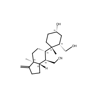 C=C1CC[C@H]2[C@H](CC#N)[C@@H]([C@]3(C)CC[C@H](O)C[C@@H]3CO)CC[C@]12C